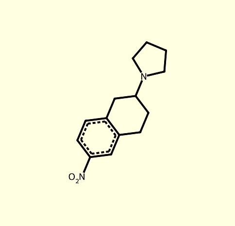 O=[N+]([O-])c1ccc2c(c1)CCC(N1CCCC1)C2